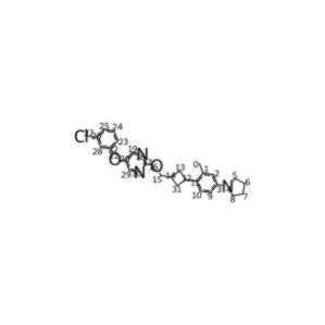 Cc1cc(N2CCCC2)ccc1C1CC(COc2ncc(Oc3cccc(Cl)c3)cn2)C1